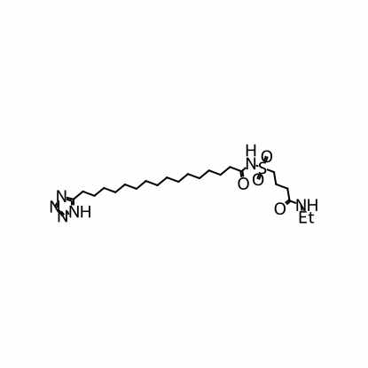 CCNC(=O)CCCS(=O)(=O)NC(=O)CCCCCCCCCCCCCCCc1nnn[nH]1